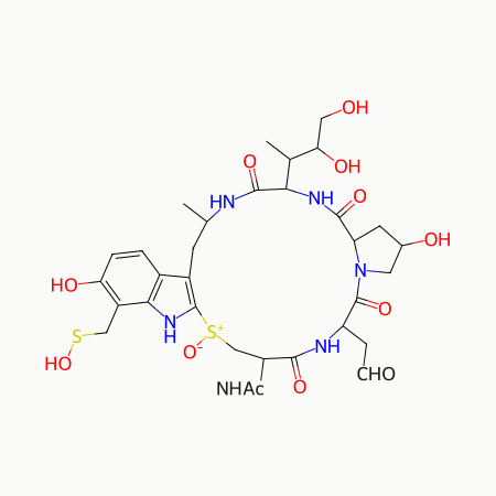 CC(=O)NC1C[S+]([O-])c2[nH]c3c(CSO)c(O)ccc3c2CC(C)NC(=O)C(C(C)C(O)CO)NC(=O)C2CC(O)CN2C(=O)C(CC=O)NC1=O